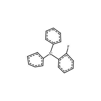 Fc1ccccc1[S+](c1ccccc1)c1ccccc1